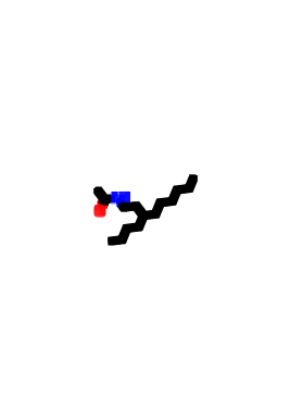 CCCCCCC(CCCC)CCNC(C)=O